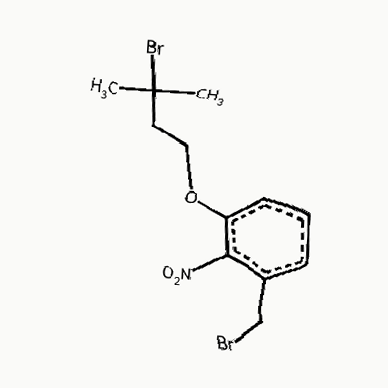 CC(C)(Br)CCOc1cccc(CBr)c1[N+](=O)[O-]